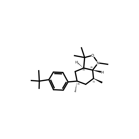 C[C@H]1C[C@@](C)(c2ccc(C(C)(C)C)cc2)C[C@@H]2[C@@H]1N(C)OC2(C)C